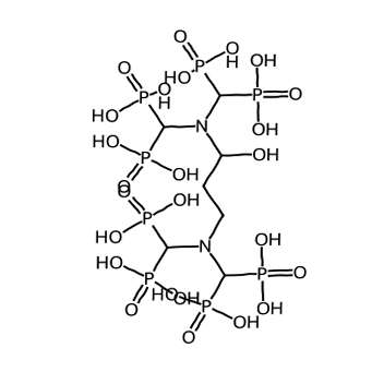 O=P(O)(O)C(N(CCC(O)N(C(P(=O)(O)O)P(=O)(O)O)C(P(=O)(O)O)P(=O)(O)O)C(P(=O)(O)O)P(=O)(O)O)P(=O)(O)O